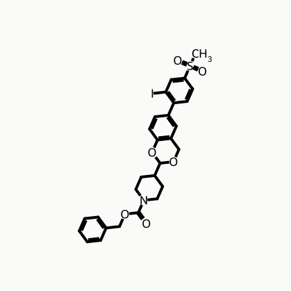 CS(=O)(=O)c1ccc(-c2ccc3c(c2)COC(C2CCN(C(=O)OCc4ccccc4)CC2)O3)c(I)c1